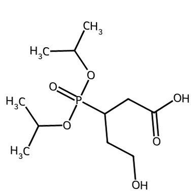 CC(C)OP(=O)(OC(C)C)C(CCO)CC(=O)O